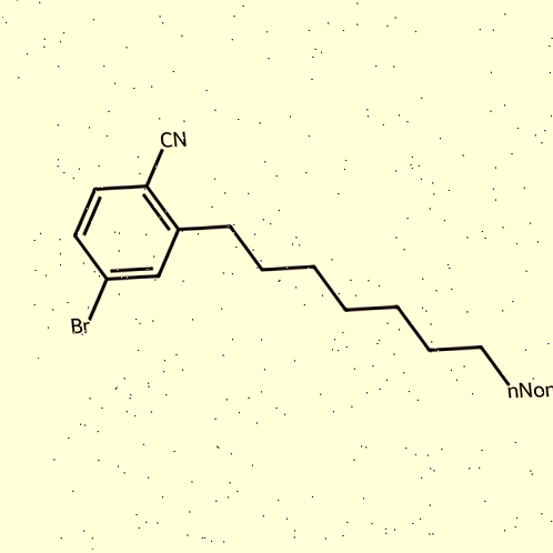 CCCCCCCCCCCCCCCCc1cc(Br)ccc1C#N